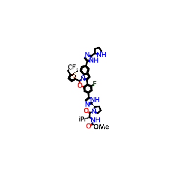 COC(=O)N[C@H](C(=O)N1CCC[C@H]1c1ncc(-c2cc(F)c3c(c2)OC(c2ccc(CC(F)(F)F)s2)n2c-3cc3cc(-c4cnc(C5CCCN5)[nH]4)ccc32)[nH]1)C(C)C